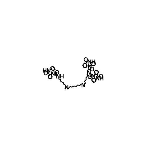 CN(CCCCCCCCN(C)CCCCCCN(CC(=O)N1c2ccccc2NC(=O)c2ccccc21)CC(=O)N1c2ccccc2NC(=O)c2ccccc21)CCCCCCNCC(=O)N1c2ccccc2NC(=O)c2ccccc21